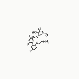 NCCOc1ccc(F)cc1-c1cc(NSc2cc(C=O)cc(Cl)c2O)c(F)cc1F